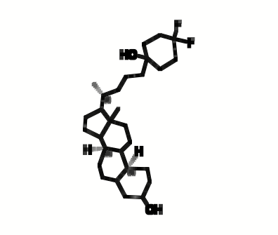 C[C@H](CCCC1(O)CCC(F)(F)CC1)C1CCC2[C@@H]3CCC4CC(O)CC[C@@H]4C3CCC21C